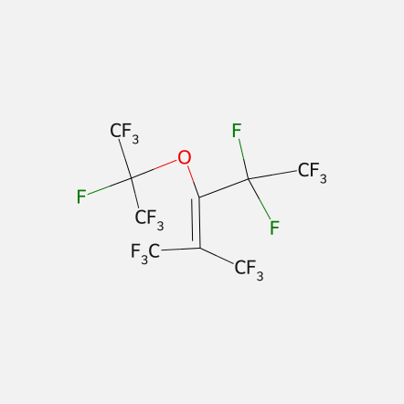 FC(F)(F)C(=C(OC(F)(C(F)(F)F)C(F)(F)F)C(F)(F)C(F)(F)F)C(F)(F)F